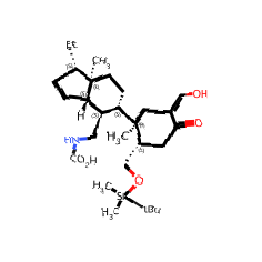 CC[C@H]1CC[C@H]2[C@H](CNC(=O)O)[C@@H]([C@@]3(C)CC(=CO)C(=O)C[C@@H]3CO[Si](C)(C)C(C)(C)C)CC[C@]12C